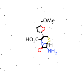 COC[C@H]1CC[C@@H](C2=C(C(=O)O)N3C(=O)[C@@H](N)[C@H]3SC2)O1